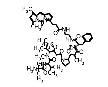 CCC(C)C(C(CC(=O)N1CCCC1C(OC)C(C)C(=O)NC(Cc1ccccc1)C(=O)NCCNC(=O)CCC1=[N+]2B(F)n3c(C)cc(C)c3C=C2C=C1)OC)N(C)C(=O)C(NC(=O)C(C)(C)N)C(C)C